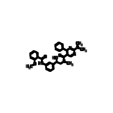 COc1ccccc1C(=O)Nc1cccc(C(O)CN(C)C(=O)c2cnc(N(C)C)nc2-c2ccccc2)c1